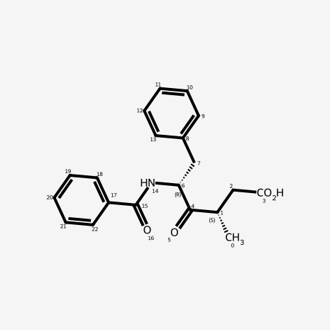 C[C@@H](CC(=O)O)C(=O)[C@@H](Cc1ccccc1)NC(=O)c1ccccc1